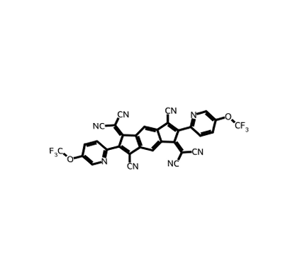 N#CC(C#N)=C1C(c2ccc(OC(F)(F)F)cn2)=C(C#N)c2cc3c(cc21)C(C#N)=C(c1ccc(OC(F)(F)F)cn1)C3=C(C#N)C#N